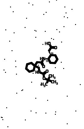 CC(C)(C)OC(=O)NCC1(CC(=O)N[C@H]2CCCC[C@H]2CC(=O)O)CCCCC1